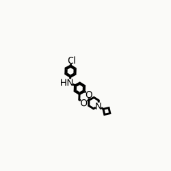 Clc1ccc(Nc2ccc3c(c2)COC2(CCN(C4CCC4)CC2)O3)cc1